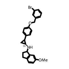 COc1ccc2c(c1)C(N[C@H]1CC1c1ccc(OCc3cccc(Br)c3)cc1)CC2